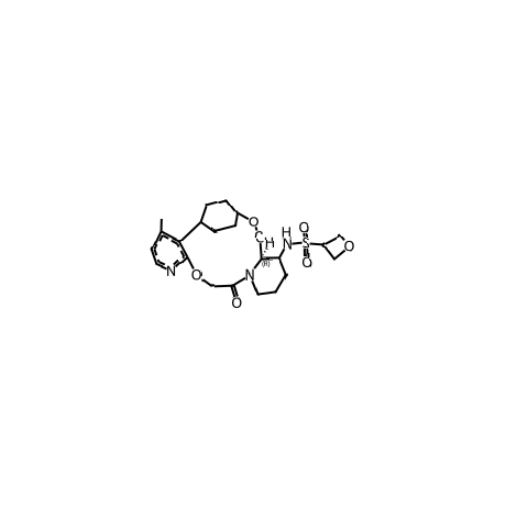 Cc1ccnc2c1C1CCC(CC1)OC[C@H]1C(NS(=O)(=O)C3COC3)CCCN1C(=O)CO2